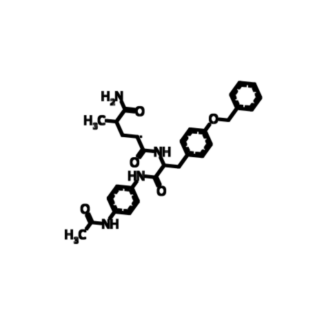 CC(=O)Nc1ccc(NC(=O)C(Cc2ccc(OCc3ccccc3)cc2)NC(=O)[CH]CC(C)C(N)=O)cc1